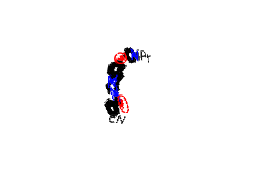 CC(C)N1CCC(Oc2ccc3c(c2)cc2n3CCN(C(=O)c3cccc(C#N)c3)C2)CC1